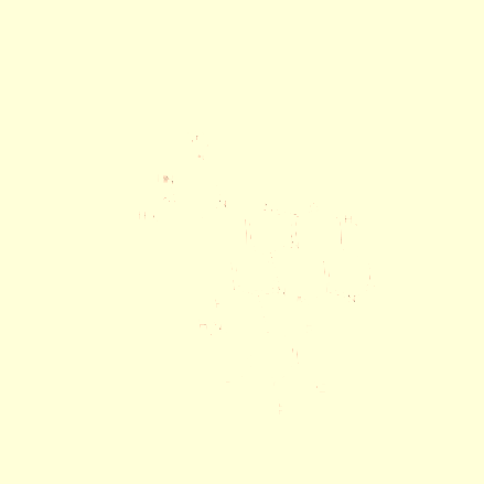 Cc1ccnc(C(C)C)c1-n1c(=O)nc(N2C[C@@H](C)N[C@@H](C)C2)c2cc(F)c(-c3c(N)c(F)c(F)c(Cl)c3F)nc21